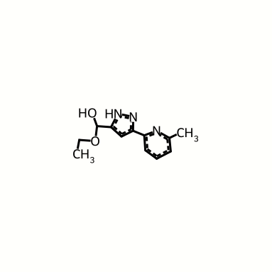 CCOC(O)c1cc(-c2cccc(C)n2)n[nH]1